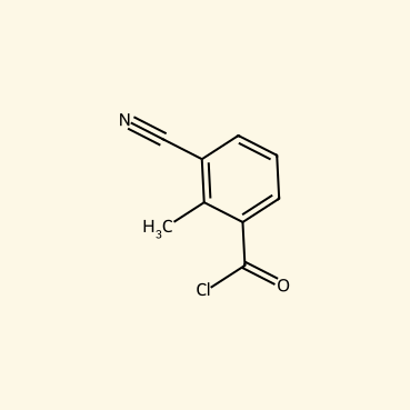 Cc1c(C#N)cccc1C(=O)Cl